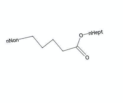 CCCCCCCCCCCCCC(=O)OCCCCCCC